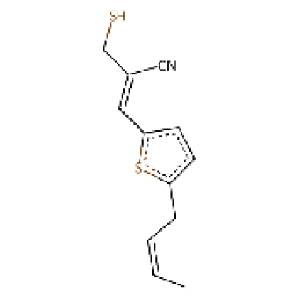 C/C=C\Cc1ccc(/C=C(\C#N)CS)s1